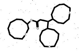 O=C(CC(C1CCCCCCCCC1)C1CCCCCCCCC1)OC1CCCCCCCCC1